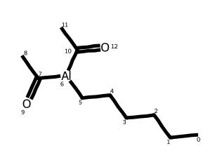 CCCCC[CH2][Al]([C](C)=O)[C](C)=O